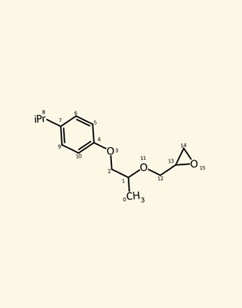 CC(COc1ccc(C(C)C)cc1)OCC1CO1